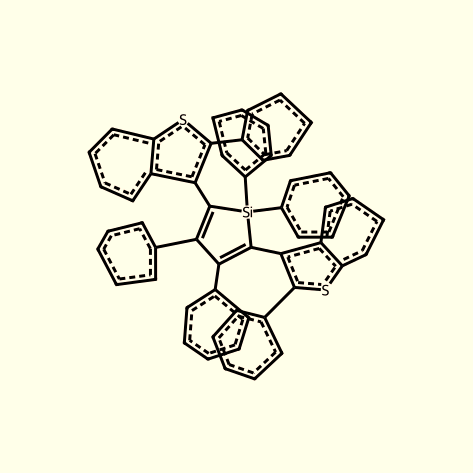 c1ccc(C2=C(c3c(-c4ccccc4)sc4ccccc34)[Si](c3ccccc3)(c3ccccc3)C(c3c(-c4ccccc4)sc4ccccc34)=C2c2ccccc2)cc1